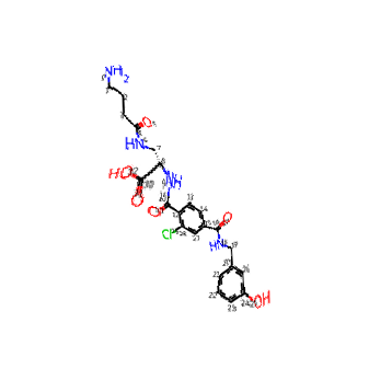 NCCCC(=O)NC[C@H](NC(=O)c1ccc(C(=O)NCc2cccc(O)c2)cc1Cl)C(=O)O